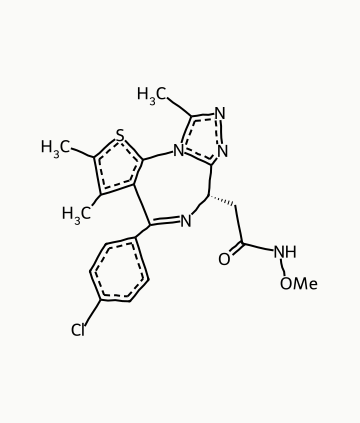 CONC(=O)C[C@@H]1N=C(c2ccc(Cl)cc2)c2c(sc(C)c2C)-n2c(C)nnc21